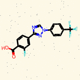 O=C(O)c1ccc(-c2ncn(-c3ccc(C(F)(F)F)cc3)n2)cc1F